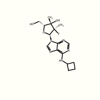 C[C@]1(O)[C@@H](CO)O[C@H](n2cnc3c(NC4CCC4)ncnc32)[C@]1(C)F